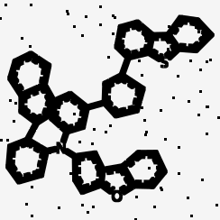 c1cc(-c2cccc(N(c3ccc4oc5ccccc5c4c3)c3ccccc3-c3ccc4ccccc4c3)c2)cc(-c2cccc3c2sc2ccccc23)c1